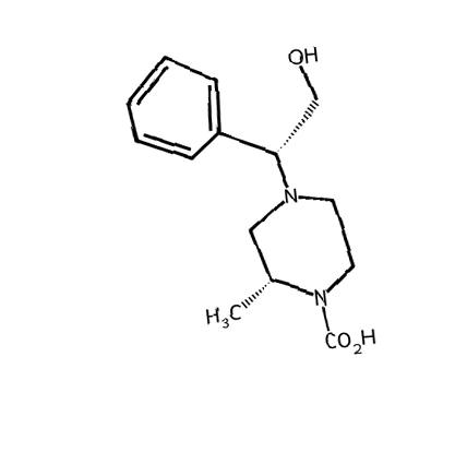 C[C@@H]1CN([C@@H](CO)c2ccccc2)CCN1C(=O)O